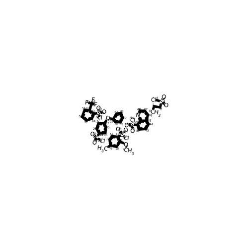 CCCS(=O)(=O)Cl.COc1cc(C)ccc1S(=O)(=O)Cl.O=S(=O)(Cl)c1ccc(Oc2ccccc2)cc1.O=S(=O)(Cl)c1cccc2cccnc12.O=S(=O)(Cl)c1ccccc1C(F)(F)F